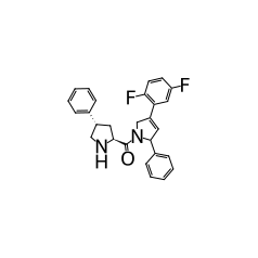 O=C([C@@H]1C[C@@H](c2ccccc2)CN1)N1CC(c2cc(F)ccc2F)=CC1c1ccccc1